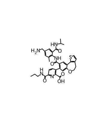 CCCNC(=O)c1ccc(-c2cc3c(cc2C(=O)Nc2c(C)cc(CN)cc2C(=O)NC(C)C)-c2sccc2CCO3)c(C(=O)O)n1